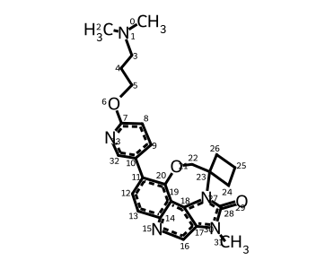 CN(C)CCCOc1ccc(-c2ccc3ncc4c5c3c2OCC2(CCC2)n5c(=O)n4C)cn1